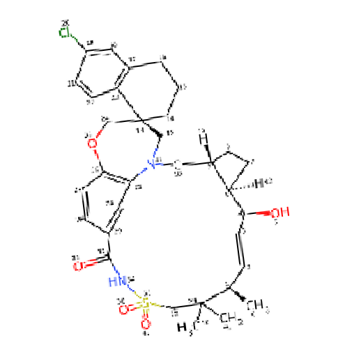 C[C@@H]1/C=C/[C@H](O)[C@@H]2CC[C@H]2CN2C[C@@]3(CCCc4cc(Cl)ccc43)COc3ccc(cc32)C(=O)NS(=O)(=O)CC1(C)C